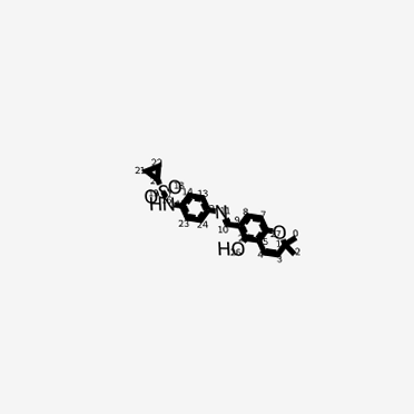 CC1(C)C=Cc2c(ccc(C=Nc3ccc(NS(=O)(=O)C4CC4)cc3)c2O)O1